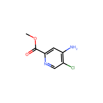 COC(=O)c1cc(N)c(Cl)cn1